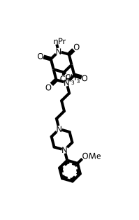 CCCN1C(=O)C2C(=O)N(CCCCN3CCN(c4ccccc4OC)CC3)C(=O)C(C1=O)C2(C)C